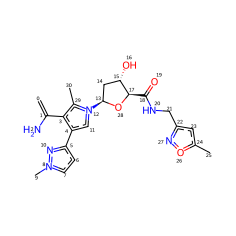 C=C(N)c1c(-c2ccn(C)n2)cn([C@H]2C[C@H](O)[C@@H](C(=O)NCc3cc(C)on3)O2)c1C